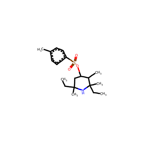 CCC1(C)CC(OS(=O)(=O)c2ccc(C)cc2)C(C)C(C)(CC)N1